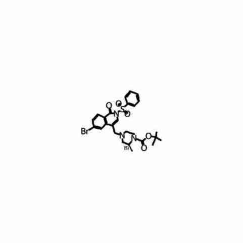 C[C@H]1CN(Cc2cn(S(=O)(=O)c3ccccc3)c(=O)c3ccc(Br)cc23)CCN1C(=O)OC(C)(C)C